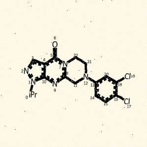 CC(C)n1ncc2c(=O)n3c(nc21)CN(c1ccc(Cl)c(Cl)c1)CC3